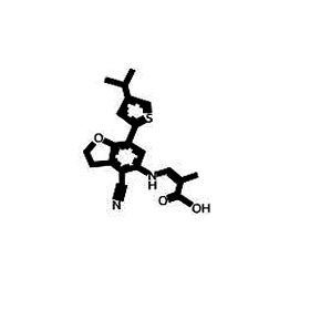 CC(=CNc1cc(-c2cc(C(C)C)cs2)c2c(c1C#N)CCO2)C(=O)O